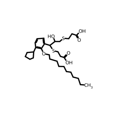 CCCCCCCCCCCOc1c(C2CCCC2)cccc1C(SCCC(=O)O)C(O)CSCCC(=O)O